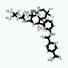 CC(C)(C)OC(=O)NC1=N[C@](C)(c2nc(NC(=O)c3ccc(C(=O)O)cn3)ccc2F)[C@H]2CC(F)(F)CNS2(O)C1(C)C